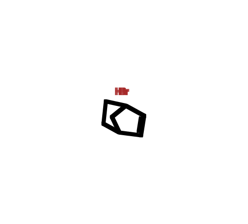 Br.C1=CC2CCC1C2